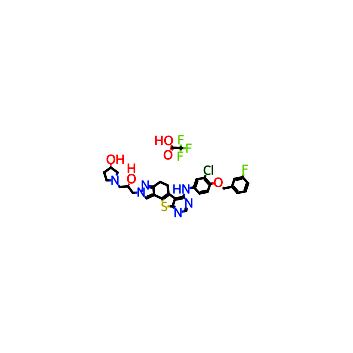 O=C(O)C(F)(F)F.O[C@H](CN1CC[C@H](O)C1)Cn1cc2c(n1)CCc1c-2sc2ncnc(Nc3ccc(OCc4cccc(F)c4)c(Cl)c3)c12